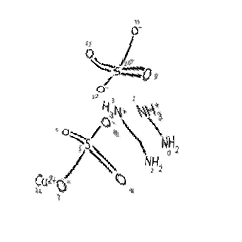 N[NH3+].N[NH3+].O=S(=O)([O-])[O-].O=S(=O)([O-])[O-].[Cu+2]